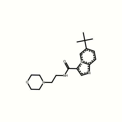 CC(C)(C)c1ccc2ncc(C(=O)NCCN3CCOCC3)n2c1